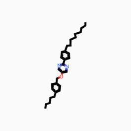 CCCCCCCCCc1ccc(-c2ncc(OCc3ccc(CCCCC)cc3)cn2)cc1